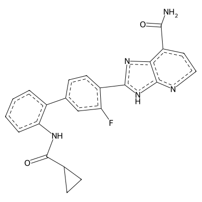 NC(=O)c1ccnc2[nH]c(-c3ccc(-c4ccccc4NC(=O)C4CC4)cc3F)nc12